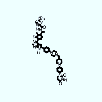 Cc1c(C(C)NC(=O)c2noc(C(C)(C)C)n2)ccc(-c2ncnc3[nH]c(-c4ccc(N5CCN(CC6CCN(c7ccc(N8CCC(=O)NC8=O)cc7)CC6)CC5)cc4)cc23)c1F